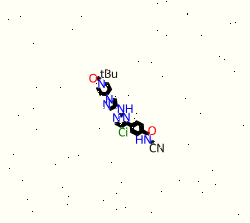 CC(C)(C)C(=O)N1CCC(n2cc(Nc3ncc(Cl)c(-c4ccc(C(=O)NCC#N)cc4)n3)cn2)CC1